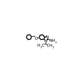 CC(C)n1c(N)nc2ccc(OCc3ccccc3)cc21